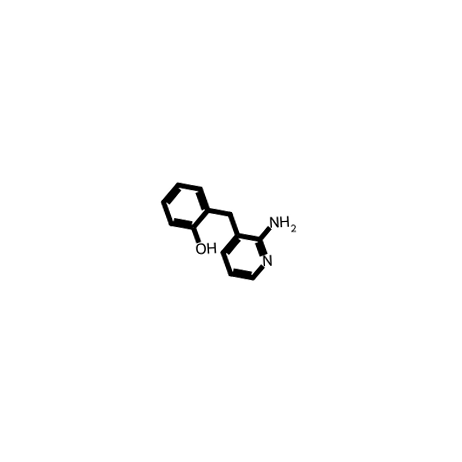 Nc1ncccc1Cc1ccccc1O